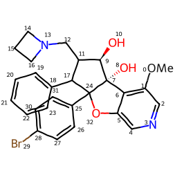 COc1cncc2c1[C@]1(O)[C@H](O)C(CN3CCC3)C(c3ccccc3)C1(c1ccc(Br)cc1)O2